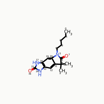 CCCCCN1C(=O)C(C)(C)c2cc3[nH]c(=O)[nH]c3cc21